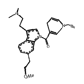 COCCc1ccc2c(CCN(C)C)cn(C(=O)C3=CN(C(C)(C)C)C=CC3)c2c1